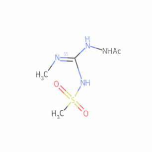 C/N=C(/NNC(C)=O)NS(C)(=O)=O